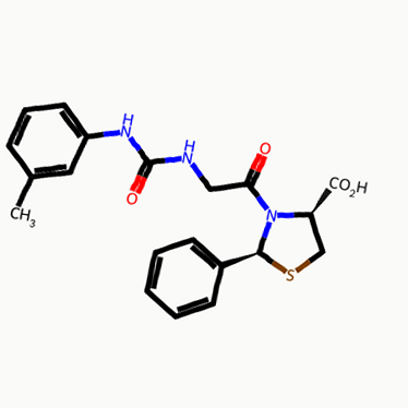 Cc1cccc(NC(=O)NCC(=O)N2[C@@H](C(=O)O)CS[C@H]2c2ccccc2)c1